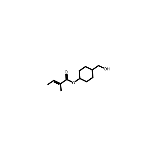 C/C=C(\C)C(=O)OC1CCC(CO)CC1